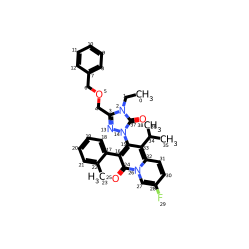 CCn1c(COCc2ccccc2)nn(-c2c(-c3ccccc3C)c(=O)n3cc(F)ccc3c2C(C)C)c1=O